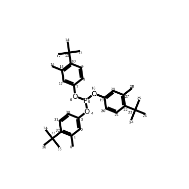 Cc1cc(OP(Oc2ccc(C(C)(C)C)c(C)c2)Oc2ccc(C(C)(C)C)c(C)c2)ccc1C(C)(C)C